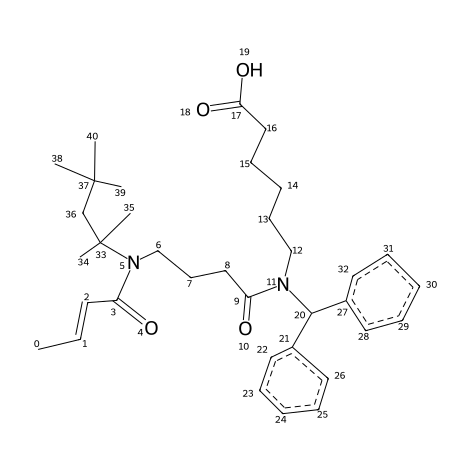 CC=CC(=O)N(CCCC(=O)N(CCCCCC(=O)O)C(c1ccccc1)c1ccccc1)C(C)(C)CC(C)(C)C